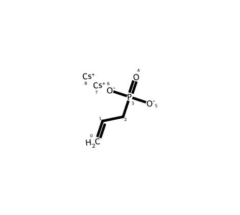 C=CCP(=O)([O-])[O-].[Cs+].[Cs+]